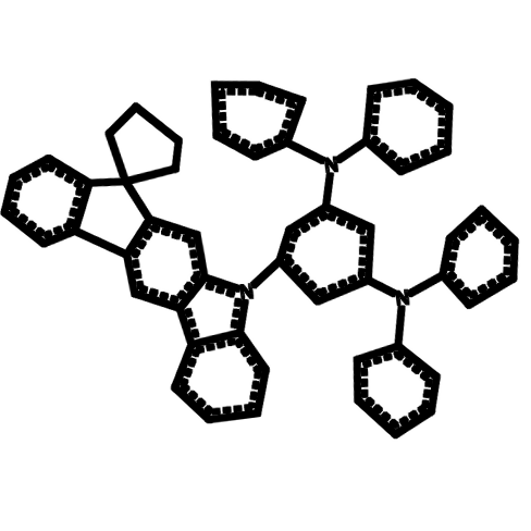 c1ccc(N(c2ccccc2)c2cc(N(c3ccccc3)c3ccccc3)cc(-n3c4ccccc4c4cc5c(cc43)C3(CCCC3)c3ccccc3-5)c2)cc1